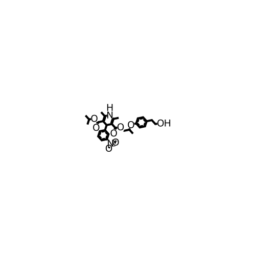 CC1=C(C(=O)OCC(C)Oc2ccc(CCO)cc2)C(c2cccc([N+](=O)[O-])c2)C(C(=O)OC(C)C)=C(C)N1